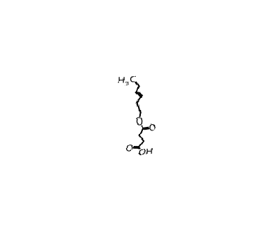 CCC=CCCOC(=O)CCC(=O)O